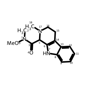 CON(C)C(=O)C1c2[nH]c3ccccc3c2CCN1C